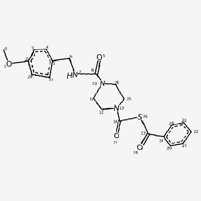 COc1ccc(CNC(=O)N2CCN(C(=O)SC(=O)c3ccccc3)CC2)cc1